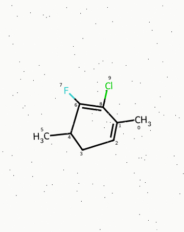 CC1=CCC(C)C(F)=C1Cl